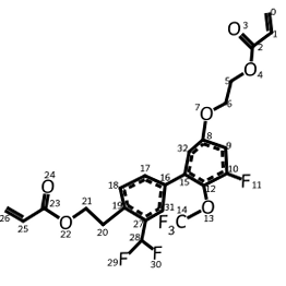 C=CC(=O)OCCOc1cc(F)c(OC(F)(F)F)c(-c2ccc(CCOC(=O)C=C)c(C(F)F)c2)c1